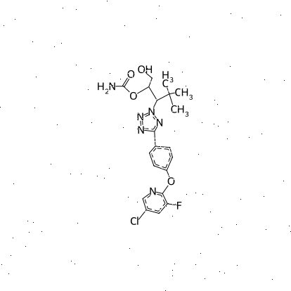 CC(C)(C)C(C(CO)OC(N)=O)n1nnc(-c2ccc(Oc3ncc(Cl)cc3F)cc2)n1